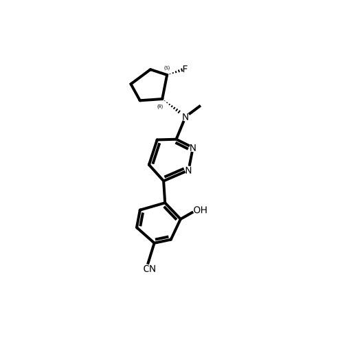 CN(c1ccc(-c2ccc(C#N)cc2O)nn1)[C@@H]1CCC[C@@H]1F